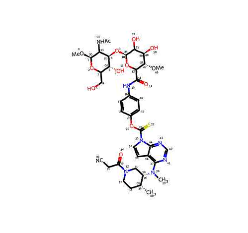 CO[C@@H]1OC(CO)[C@@H](O)[C@H](O[C@@H]2OC(C(=O)Nc3ccc(OC(=S)n4ccc5c(N(C)[C@H]6CN(C(=O)CC#N)CC[C@H]6C)ncnc54)cc3)[C@@H](OC)[C@H](O)C2O)C1NC(C)=O